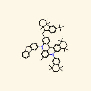 Cc1cc2c3c(c1)N(c1ccc4c(c1)C(C)(C)CCC4(C)C)c1cc4c(cc1B3c1ccc(CC3c5ccc(C(C)(C)C)cc5C5(C)CCCCC35C)cc1N2c1ccc2c(c1)-c1ccccc1C2)C(C)(C)CCC4(C)C